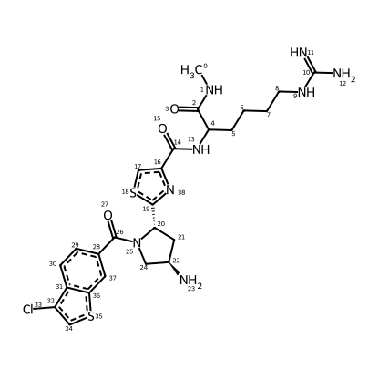 CNC(=O)C(CCCCNC(=N)N)NC(=O)c1csc([C@@H]2C[C@@H](N)CN2C(=O)c2ccc3c(Cl)csc3c2)n1